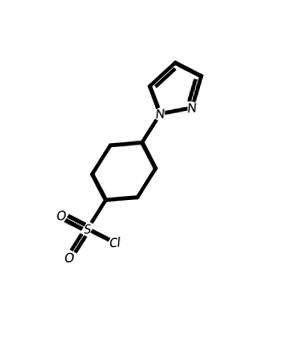 O=S(=O)(Cl)C1CCC(n2cccn2)CC1